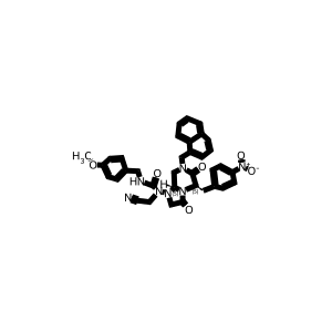 COc1ccc(CNC(=O)N(CC#N)N2CC(=O)N3[C@@H](Cc4ccc([N+](=O)[O-])cc4)C(=O)N(Cc4cccc5ccccc45)C[C@@H]32)cc1